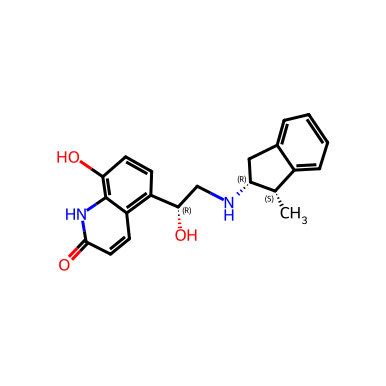 C[C@H]1c2ccccc2C[C@H]1NC[C@H](O)c1ccc(O)c2[nH]c(=O)ccc12